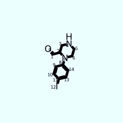 O=CC1CNCCN1c1ccc(I)cc1